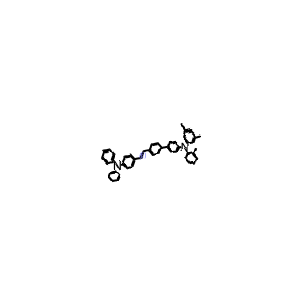 Cc1cc(C)cc(N(c2ccc(-c3ccc(/C=C/c4ccc(N(c5ccccc5)c5ccccc5)cc4)cc3)cc2)c2ccccc2C)c1